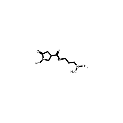 CCCN1CC(C(=O)NCCCN(C)C)CC1=O